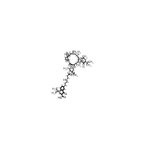 CO[C@]1(C)C[C@H](O[C@H]2[C@H](C)[C@@H](O[C@@H]3O[C@H](C)C[C@H](N(C)C)[C@H]3O)[C@](C)(O)C[C@@H](C)CN(C)[C@H](C)[C@@H](O)[C@@]3(O)CC[C@H]3OC(=O)[C@@H]2C)O[C@@H](C)[C@@H]1OC(=O)CCNCCCc1ccc2c(c1)c(=O)c(C(=O)O)cn2N(C)C